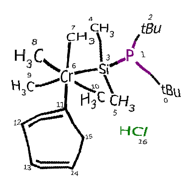 CC(C)(C)P(C(C)(C)C)[Si](C)(C)[Cr]([CH3])([CH3])([CH3])([CH3])[C]1=CC=CC1.Cl